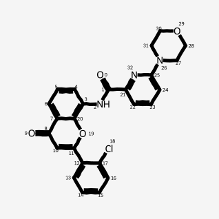 O=C(Nc1cccc2c(=O)cc(-c3ccccc3Cl)oc12)c1cccc(N2CCOCC2)n1